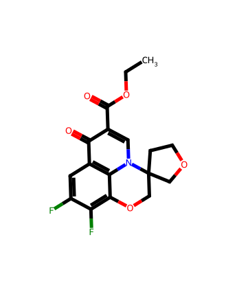 CCOC(=O)c1cn2c3c(c(F)c(F)cc3c1=O)OCC21CCOC1